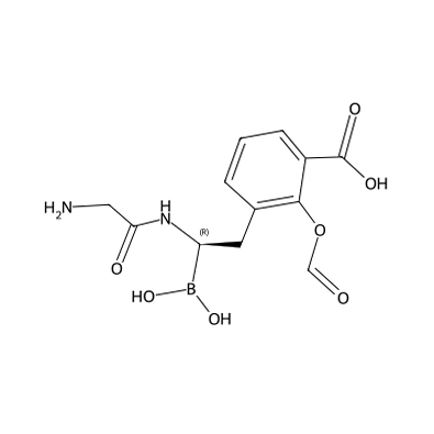 NCC(=O)N[C@@H](Cc1cccc(C(=O)O)c1OC=O)B(O)O